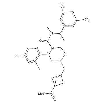 COC(=O)C12CC(CN3CCN(C(=O)N(C)C(C)c4cc(C(F)(F)F)cc(C(F)(F)F)c4)[C@@H](c4ccc(F)cc4C)C3)(C1)C2